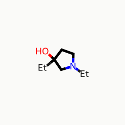 CCN1CCC(O)(CC)C1